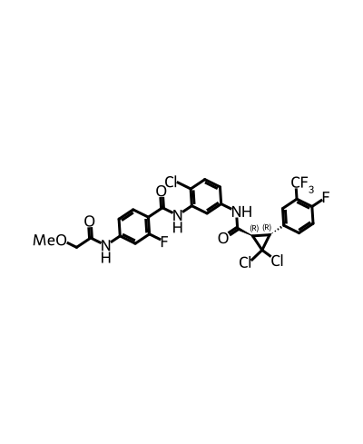 COCC(=O)Nc1ccc(C(=O)Nc2cc(NC(=O)[C@H]3[C@H](c4ccc(F)c(C(F)(F)F)c4)C3(Cl)Cl)ccc2Cl)c(F)c1